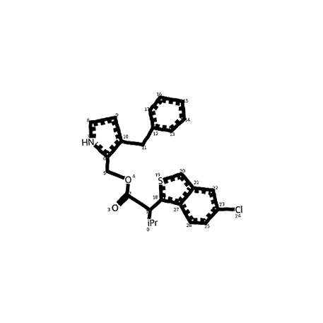 CC(C)C(C(=O)OCc1[nH]ccc1Cc1ccccc1)c1scc2cc(Cl)ccc12